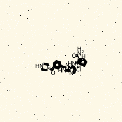 NC(=O)[C@@H]1[C@H](Nc2c(Cl)cnc3[nH]c(-c4cccc(C(=O)N5CCNCC5)c4)nc23)[C@H]2C=C[C@@H]1C2